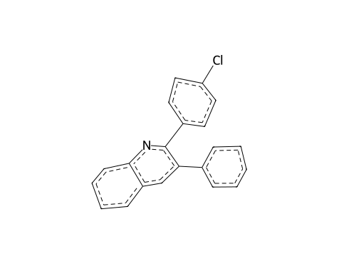 Clc1ccc(-c2nc3ccccc3cc2-c2ccccc2)cc1